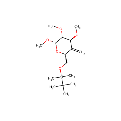 C=C1[C@@H](CO[Si](C)(C)C(C)(C)C)O[C@H](OC)[C@H](OC)[C@H]1OC